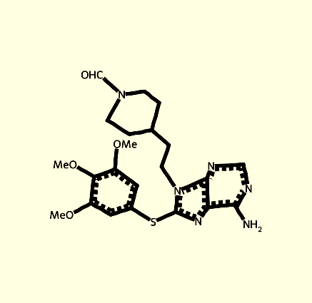 COc1cc(Sc2nc3c(N)ncnc3n2CCC2CCN(C=O)CC2)cc(OC)c1OC